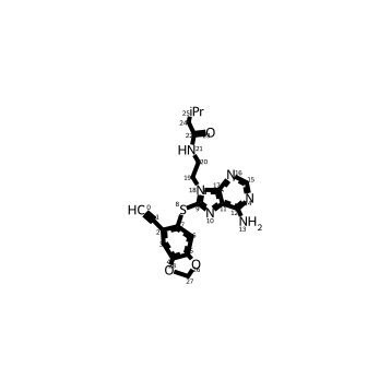 C#Cc1cc2c(cc1Sc1nc3c(N)ncnc3n1CCNC(=O)CC(C)C)OCO2